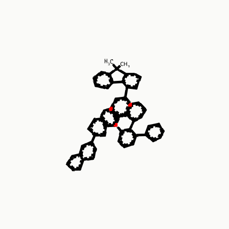 CC1(C)c2ccccc2-c2c(-c3ccc(N(c4cccc(-c5ccc6ccccc6c5)c4)c4cccc(-c5ccccc5)c4-c4ccccc4-c4ccccc4)cc3)cccc21